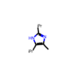 Cc1nc(C(C)C)[nH]c1C(C)C